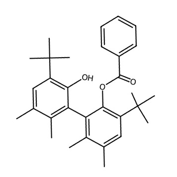 Cc1cc(C(C)(C)C)c(O)c(-c2c(C)c(C)cc(C(C)(C)C)c2OC(=O)c2ccccc2)c1C